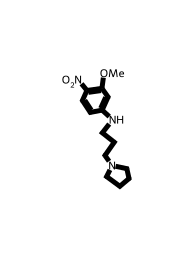 COc1cc(NCCCN2CCCC2)ccc1[N+](=O)[O-]